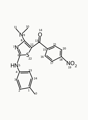 Cc1ccc(Nc2nc(N(C)C)c(C(=O)c3ccc([N+](=O)[O-])cc3)s2)cc1